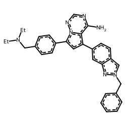 CCN(CC)Cc1ccc(-c2cc(-c3ccc4cn(Cc5ccccc5)nc4c3)c3c(N)ncnn23)cc1